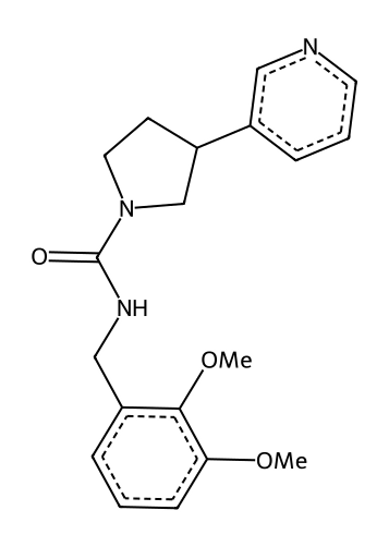 COc1cccc(CNC(=O)N2CCC(c3cccnc3)C2)c1OC